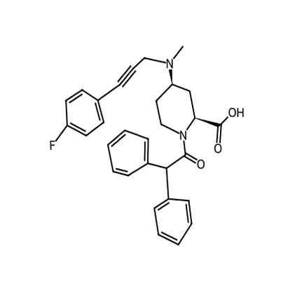 CN(CC#Cc1ccc(F)cc1)[C@@H]1CCN(C(=O)C(c2ccccc2)c2ccccc2)[C@H](C(=O)O)C1